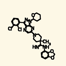 CC1(C(=N)Nc2cccc3c2OCO3)CCN(c2cnc3c(-c4cccc(Cl)c4Cl)nn(C4CCCCO4)c3n2)CC1